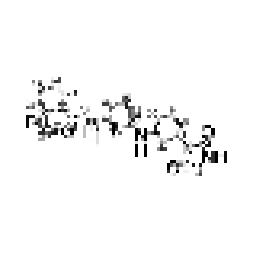 O=C1CNC(=O)N1c1cccc(Nc2nccc(NCC(O)c3ccccc3C(F)(F)F)n2)c1